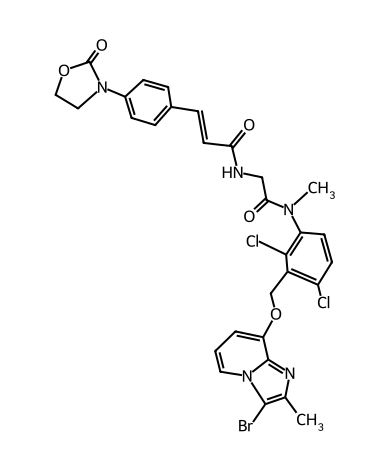 Cc1nc2c(OCc3c(Cl)ccc(N(C)C(=O)CNC(=O)C=Cc4ccc(N5CCOC5=O)cc4)c3Cl)cccn2c1Br